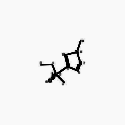 CC[SH](C)(=O)c1cnn(C)c1